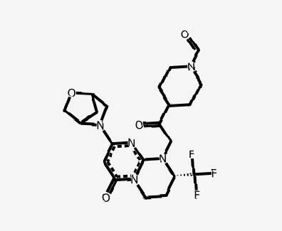 O=CN1CCC(C(=O)CN2c3nc(N4CC5CC4CO5)cc(=O)n3CC[C@H]2C(F)(F)F)CC1